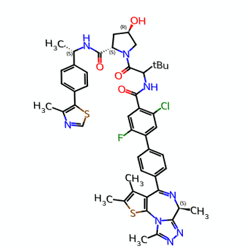 Cc1ncsc1-c1ccc([C@H](C)NC(=O)[C@@H]2C[C@@H](O)CN2C(=O)C(NC(=O)c2cc(F)c(-c3ccc(C4=N[C@@H](C)c5nnc(C)n5-c5sc(C)c(C)c54)cc3)cc2Cl)C(C)(C)C)cc1